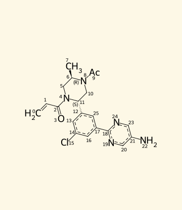 C=CC(=O)N1C[C@@H](C)N(C(C)=O)C[C@@H]1c1cc(Cl)cc(-c2ncc(N)cn2)c1